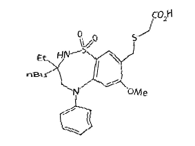 CCCCC1(CC)CN(c2ccccc2)c2cc(OC)c(CSCC(=O)O)cc2S(=O)(=O)N1